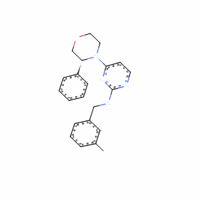 FC(F)(F)c1cccc(CNc2nccc(N3CCOC[C@@H]3c3ccccc3)n2)c1